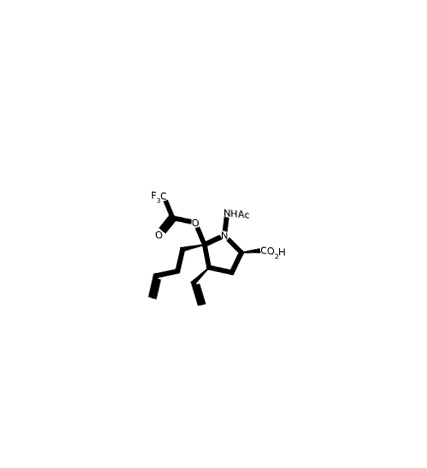 C=CCC[C@]1(OC(=O)C(F)(F)F)[C@H](C=C)C[C@H](C(=O)O)N1NC(C)=O